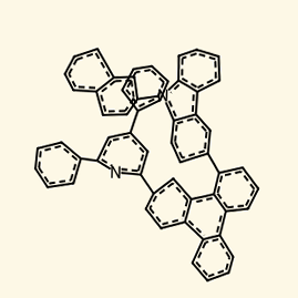 c1ccc(-c2cc(-c3ccccc3)nc(-c3ccc4c5ccccc5c5cccc(-c6ccc7c(c6)c6ccccc6n7-c6ccc7ccccc7c6)c5c4c3)c2)cc1